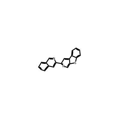 c1ccc2cc(-c3cc4c(cn3)sc3ccccc34)ncc2c1